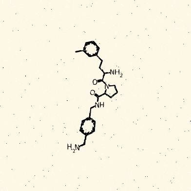 Cc1cccc(CCC(N)C(=O)N2CCCC2C(=O)NCc2ccc(CN)cc2)c1